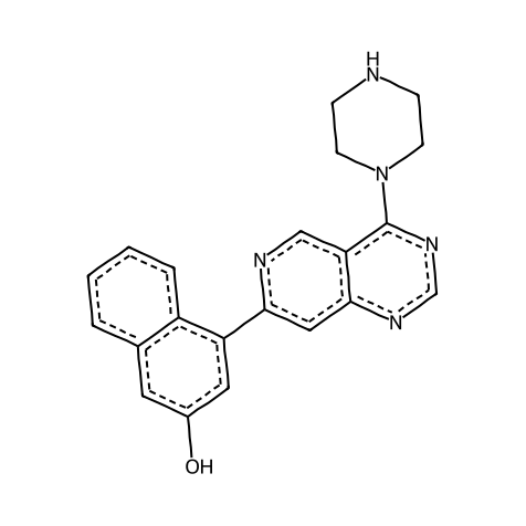 Oc1cc(-c2cc3ncnc(N4CCNCC4)c3cn2)c2ccccc2c1